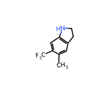 Cc1cc2c(cc1C(F)(F)F)NCC2